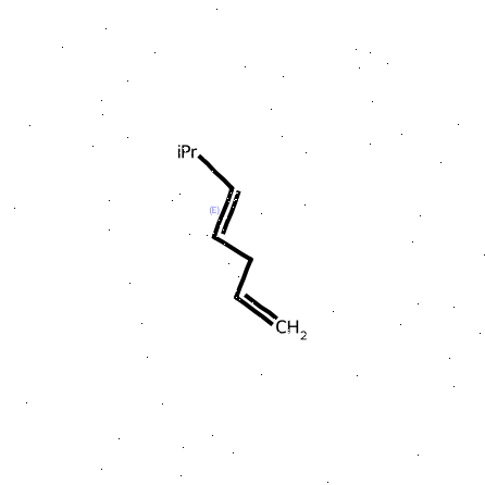 C=CC/C=C/C(C)C